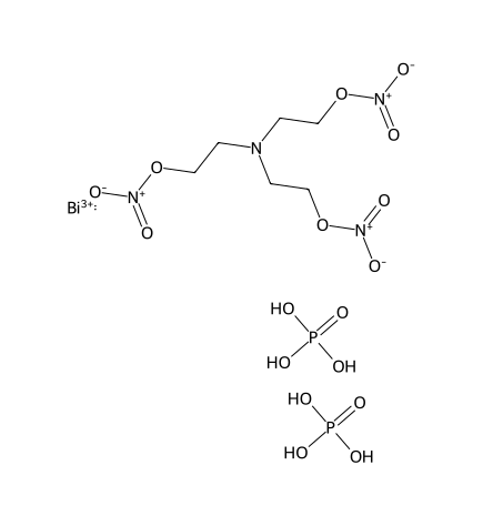 O=P(O)(O)O.O=P(O)(O)O.O=[N+]([O-])OCCN(CCO[N+](=O)[O-])CCO[N+](=O)[O-].[Bi+3]